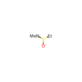 CC[S+]([O-])NC